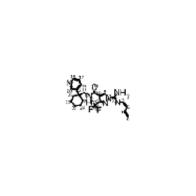 C=C/C=C\N=C(/N)n1cc(C(=O)NCC2(c3cccnc3)CCCCC2)c(C(F)(F)F)n1